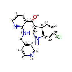 O=C(c1cccnc1NCc1ccncc1)c1c[nH]c2cc(Cl)ccc12